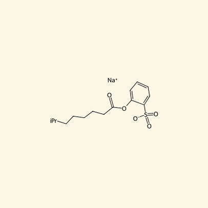 CC(C)CCCCCC(=O)Oc1ccccc1S(=O)(=O)[O-].[Na+]